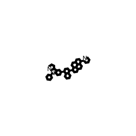 c1ccc(-n2c3ccc(-c4ccc(-c5ccc6ccc7c(-c8ccccn8)ccc8ccc5c6c87)c5ccccc45)cc3c3cccnc32)cc1